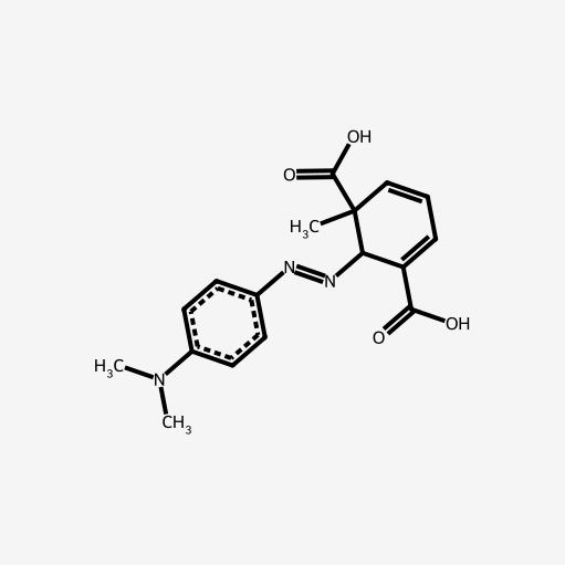 CN(C)c1ccc(N=NC2C(C(=O)O)=CC=CC2(C)C(=O)O)cc1